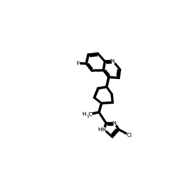 CC(c1nc(Cl)c[nH]1)C1CCC(c2ccnc3ccc(F)cc23)CC1